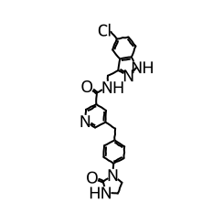 O=C(NCc1n[nH]c2ccc(Cl)cc12)c1cncc(Cc2ccc(N3CCNC3=O)cc2)c1